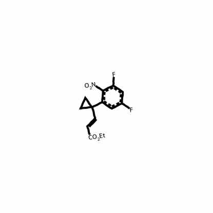 CCOC(=O)/C=C/C1(c2cc(F)cc(F)c2[N+](=O)[O-])CC1